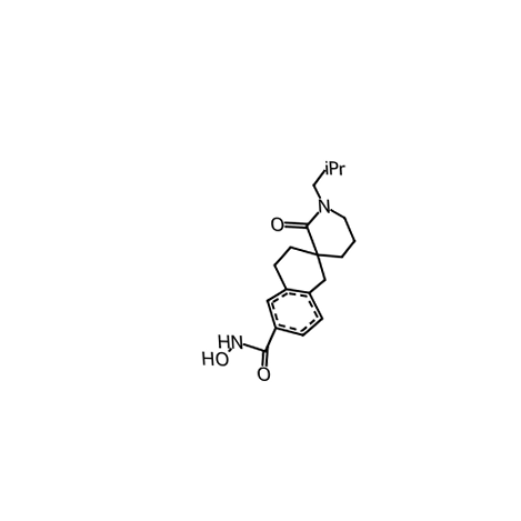 CC(C)CN1CCCC2(CCc3cc(C(=O)NO)ccc3C2)C1=O